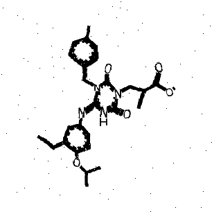 CCc1cc(N=c2[nH]c(=O)n(CC(C)C(=O)OC)c(=O)n2Cc2ccc(C)cc2)ccc1OC(C)C